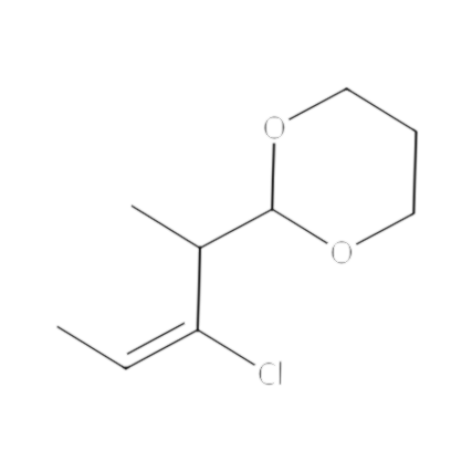 C/C=C(/Cl)C(C)C1OCCCO1